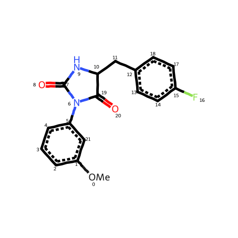 COc1cccc(N2C(=O)NC(Cc3ccc(F)cc3)C2=O)c1